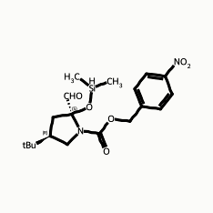 C[SiH](C)O[C@]1(C=O)C[C@H](C(C)(C)C)CN1C(=O)OCc1ccc([N+](=O)[O-])cc1